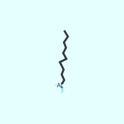 CCCCCCCCC[CH2][Al][F]